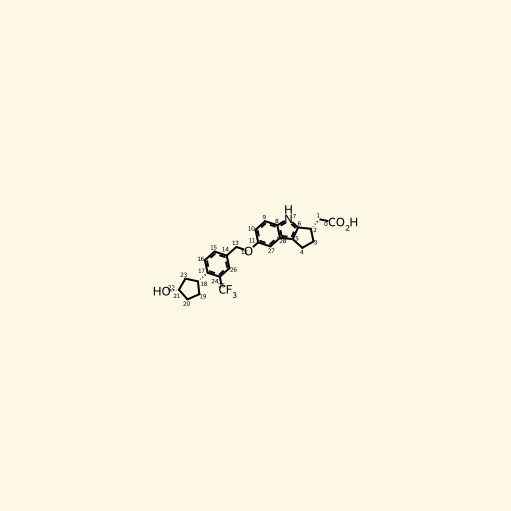 O=C(O)C[C@@H]1CCc2c1[nH]c1ccc(OCc3ccc([C@@H]4CC[C@H](O)C4)c(C(F)(F)F)c3)cc21